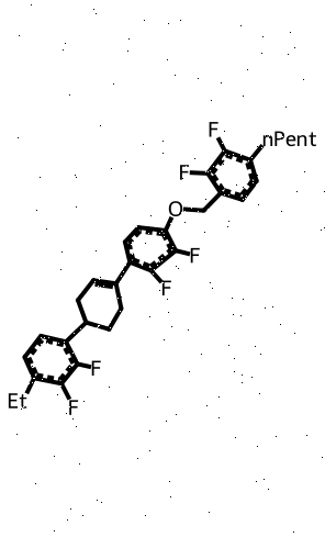 CCCCCc1ccc(COc2ccc(C3=CCC(c4ccc(CC)c(F)c4F)CC3)c(F)c2F)c(F)c1F